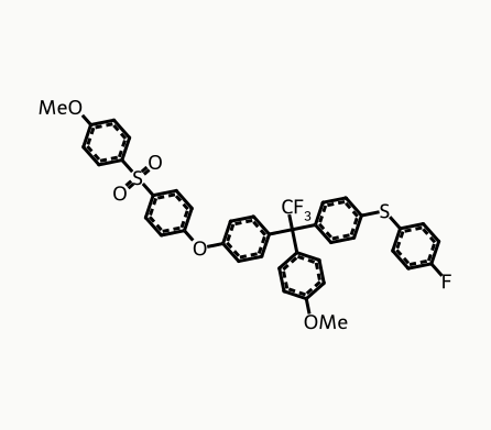 COc1ccc(C(c2ccc(Oc3ccc(S(=O)(=O)c4ccc(OC)cc4)cc3)cc2)(c2ccc(Sc3ccc(F)cc3)cc2)C(F)(F)F)cc1